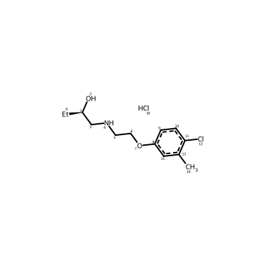 CC[C@@H](O)CNCCOc1ccc(Cl)c(C)c1.Cl